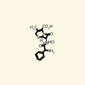 CC1=C(C(=O)O)N2C(=O)[C@@H](NC(=O)C(N)c3ccccc3)[C@H]2SC1.Cl